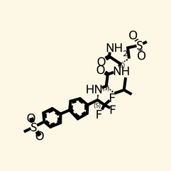 CC(C)C[C@H](N[C@@H](c1ccc(-c2ccc(S(C)(=O)=O)cc2)cc1)C(F)(F)F)C(=O)N[C@@H](CCS(C)(=O)=O)C(N)=O